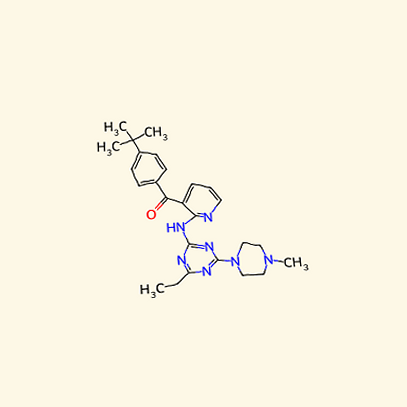 CCc1nc(Nc2ncccc2C(=O)c2ccc(C(C)(C)C)cc2)nc(N2CCN(C)CC2)n1